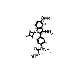 CCCNC(=O)N(N)c1ccc(-c2c(N)c3cc(OC)ccc3n2C2CCC2)cc1